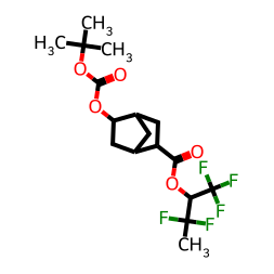 CC(C)(C)OC(=O)OC1CC2CC1CC2C(=O)OC(C(C)(F)F)C(F)(F)F